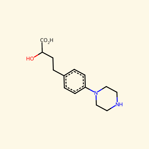 O=C(O)C(O)CCc1ccc(N2CCNCC2)cc1